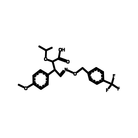 COc1ccc(C(C=NOCc2ccc(C(F)(F)F)cc2)C(OC(C)C)C(=O)O)cc1